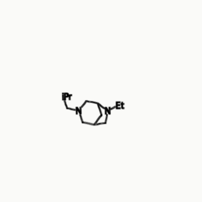 CCN1CC2CC1CN(CC(C)C)C2